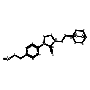 O=C(O)CCc1ccc(N2CCN(CCC34CCN(CC3)CC4)C2=O)cc1